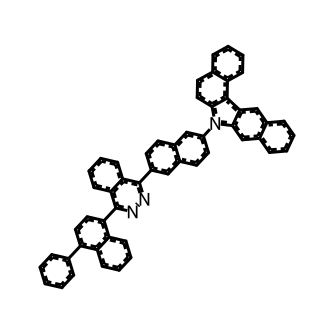 c1ccc(-c2ccc(-c3nnc(-c4ccc5cc(-n6c7cc8ccccc8cc7c7c8ccccc8ccc76)ccc5c4)c4ccccc34)c3ccccc23)cc1